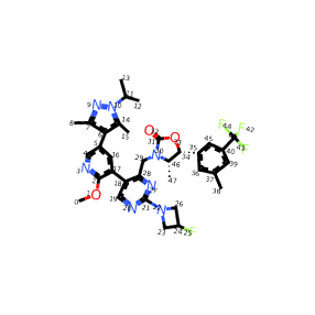 COc1ncc(-c2c(C)nn(C(C)C)c2C)cc1-c1cnc(N2CC(F)C2)nc1CN1C(=O)O[C@H](c2cc(C)cc(C(F)(F)F)c2)[C@@H]1C